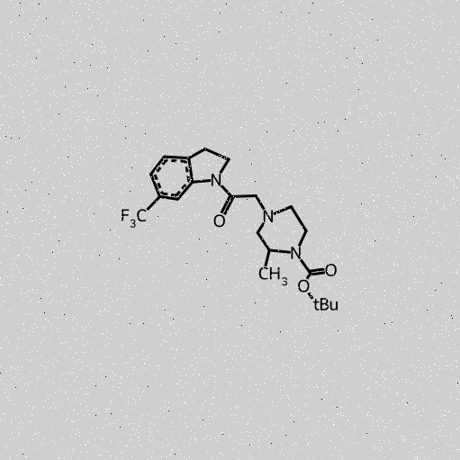 CC1CN(CC(=O)N2CCc3ccc(C(F)(F)F)cc32)CCN1C(=O)OC(C)(C)C